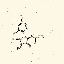 CCCN1C(=O)C(=NC(Cl)C(Cl)(Cl)Cl)N(c2ccc(Cl)cc2Cl)C1=O